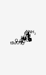 CC(C)(C)C(=O)OCSP1(=O)OC[C@H]2O[C@@H](n3c(-c4cccs4)nc4c(N)ncnc43)C(O)C2O1